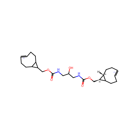 O=C(NCC(O)CNC(=O)OC[C@@H]1C2CC/C=C/CC[C@H]21)OCC1C2CC/C=C/CCC21